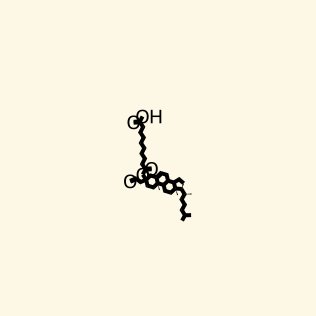 CC(C)CCC[C@@H](C)[C@H]1CCC2C3CC=C4CC(CC=O)(OC(=O)CCCCCCCCC(=O)O)CC[C@]4(C)C3CC[C@@]21C